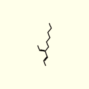 CC=CC(=CC)CCCCCC